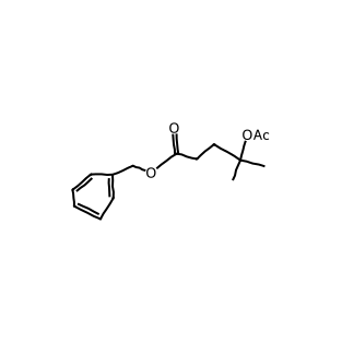 CC(=O)OC(C)(C)CCC(=O)OCc1ccccc1